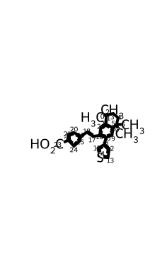 CC1(C)CCC(C)(C)c2cc(-c3ccsc3)c(/C=C/c3ccc(C(=O)O)cc3)cc21